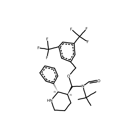 CC(C)(C)N(C=O)C(OCc1cc(C(F)(F)F)cc(C(F)(F)F)c1)[C@H]1CCCN[C@@H]1c1ccccc1